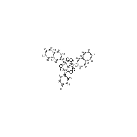 Cc1ccc(S(=O)(=O)C(S(=O)(=O)c2ccc3ccccc3c2)S(=O)(=O)c2ccc3ccccc3c2)cc1